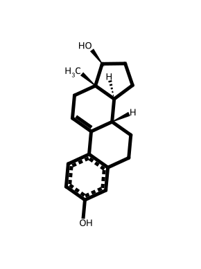 C[C@]12CC=C3c4ccc(O)cc4CC[C@H]3[C@@H]1CC[C@@H]2O